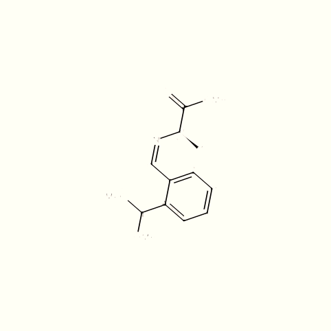 COC(=O)[C@@H](C)/N=C\c1ccccc1C(OC)OC